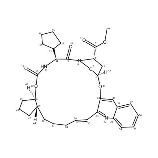 COC(=O)[C@@H]1C[C@@H]2CN1C(=O)[C@H](C1CCCC1)NC(=O)O[C@@H]1CCC[C@H]1CCC/C=C/c1nc3ccccc3cc1O2